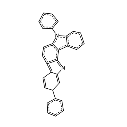 C1=CC(c2ccccc2)C=C2N=c3c(ccc4c3c3ccccc3n4-c3ccccc3)=C12